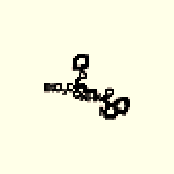 CCOC(=O)C1(COC2CCCCC2)CC(CNC(=O)c2nccc3ccccc23)=NO1